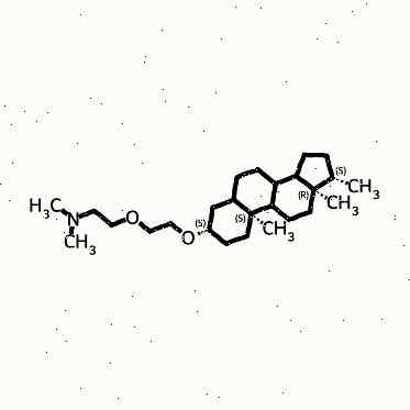 C[C@H]1CCC2C3CCC4C[C@@H](OCCOCCN(C)C)CC[C@]4(C)C3CC[C@@]21C